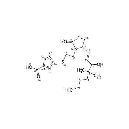 CCCCC(C)(C)[C@H](O)C=C[C@H]1CCC(=O)N1CCSc1nc(C(=O)O)cs1